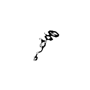 O=C1OC(COc2ccon2)CN1c1ccc(C2=CC3CCC(C2)N3)c(F)c1